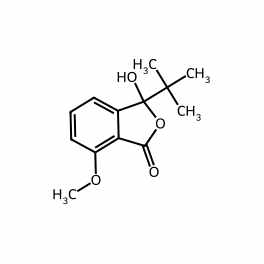 COc1cccc2c1C(=O)OC2(O)C(C)(C)C